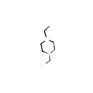 CC(C)CN1C[CH2][Ga]([CH2]C(C)C)[CH2]C1